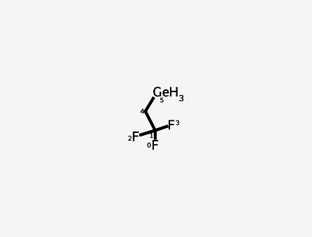 FC(F)(F)[CH2][GeH3]